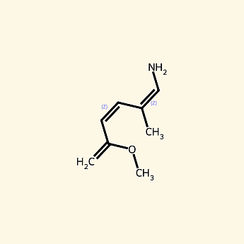 C=C(/C=C\C(C)=C/N)OC